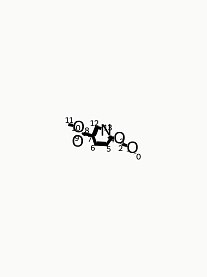 COCOc1ccc(C(=O)OC)cn1